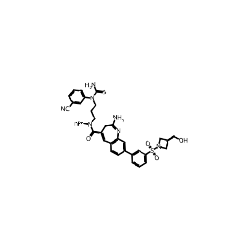 CCCN(CCCN(C(N)=S)c1cccc(C#N)c1)C(=O)C1=Cc2ccc(-c3cccc(S(=O)(=O)N4CC(CO)C4)c3)cc2N=C(N)C1